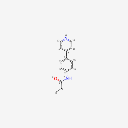 CCC(=O)Nc1ccc(-c2ccncc2)cc1